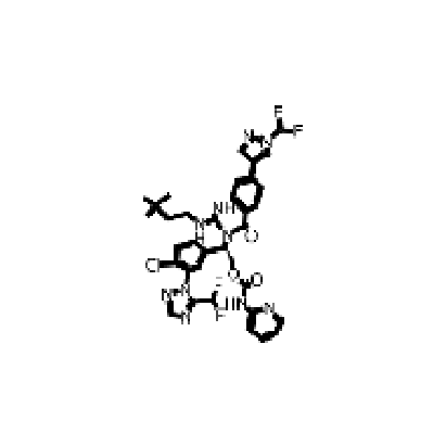 CC(C)(C)CCNC(=N)N(C(=O)c1ccc(-c2cnn(C(F)F)c2)cc1)[C@H](COC(=O)Nc1ccccn1)c1ccc(Cl)c(-n2ncnc2C(F)F)c1